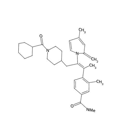 C=C1C=C(C)C=CN1/C(CC1CCN(C(=O)C2CCCCC2)CC1)=C(\C)c1ccc(C(=O)NC)cc1C